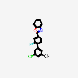 N#Cc1cc(Cl)cc(-c2ccc(-c3nc4ccccc4o3)cc2F)c1